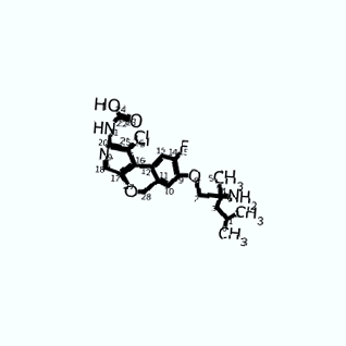 CC(C)CC(C)(N)COc1cc2c(cc1F)-c1c(cnc(NC(=O)O)c1Cl)OC2